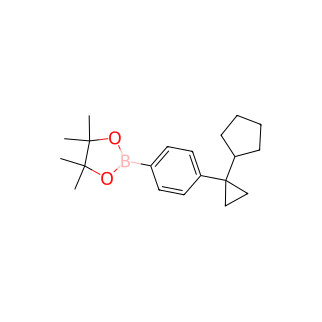 CC1(C)OB(c2ccc(C3(C4CCCC4)CC3)cc2)OC1(C)C